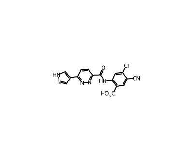 N#Cc1cc(C(=O)O)c(NC(=O)c2ccc(-c3cn[nH]c3)nn2)cc1Cl